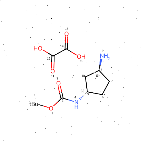 CC(C)(C)OC(=O)N[C@H]1CC[C@H](N)C1.O=C(O)C(=O)O